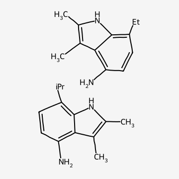 CCc1ccc(N)c2c(C)c(C)[nH]c12.Cc1[nH]c2c(C(C)C)ccc(N)c2c1C